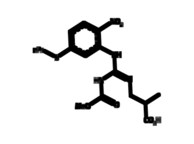 CCCSc1ccc([N+](=O)[O-])c(N/C(=N/CC(C)C(=O)O)NC(=O)OC)c1